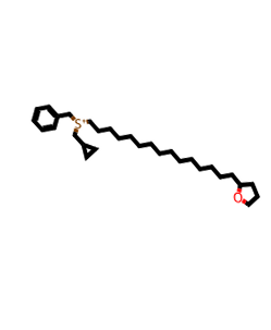 c1ccc(C[S+](CCCCCCCCCCCCCCCC2CCCO2)CC2CC2)cc1